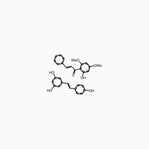 COc1cc(O)c(C(=O)C=Cc2ccccc2)c(OC)c1.Oc1ccc(C=Cc2cc(O)cc(O)c2)cc1